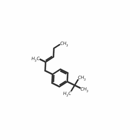 CCC=C(C)Cc1ccc(C(C)(C)C)cc1